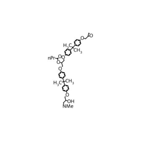 CCCC(=O)OC(COc1ccc(C(C)(C)c2ccc(OCC(O)CNC)cc2)cc1)COc1ccc(C(C)(C)c2ccc(OCC3CO3)cc2)cc1